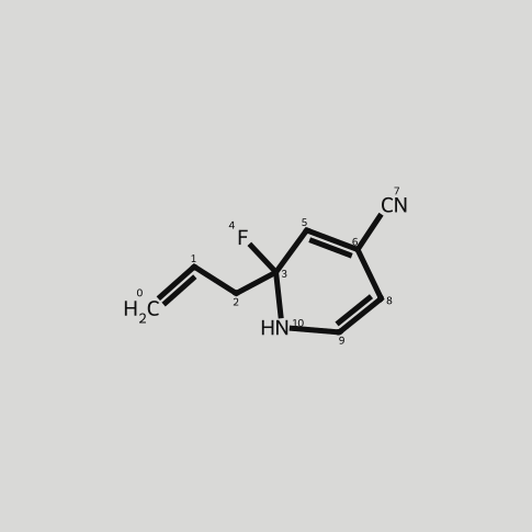 C=CCC1(F)C=C(C#N)C=CN1